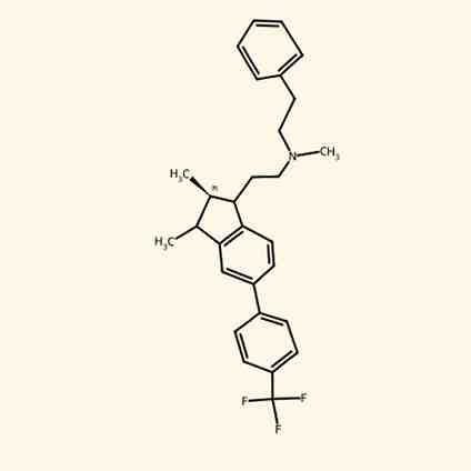 CC1c2cc(-c3ccc(C(F)(F)F)cc3)ccc2C(CCN(C)CCc2ccccc2)[C@@H]1C